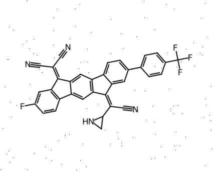 N#CC(C#N)=C1c2cc(F)ccc2-c2cc3c(cc21)-c1ccc(-c2ccc(C(F)(F)F)cc2)cc1/C3=C(\C#N)C1CN1